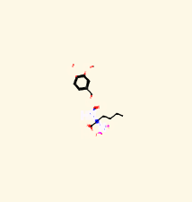 CCCCC(NC(=O)OCc1ccc(OC)c(OC)c1)(C(=O)O)[N+](=O)[O-]